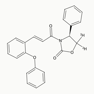 [2H]C1([2H])OC(=O)N(C(=O)/C=C/c2ccccc2Oc2ccccc2)[C@H]1c1ccccc1